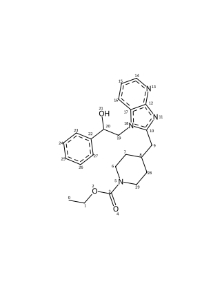 CCOC(=O)N1CCC(Cc2nc3ncccc3n2CC(O)c2ccccc2)CC1